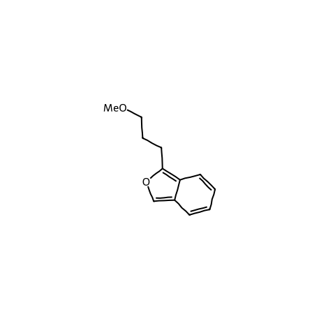 [CH2]OCCCc1occ2ccccc12